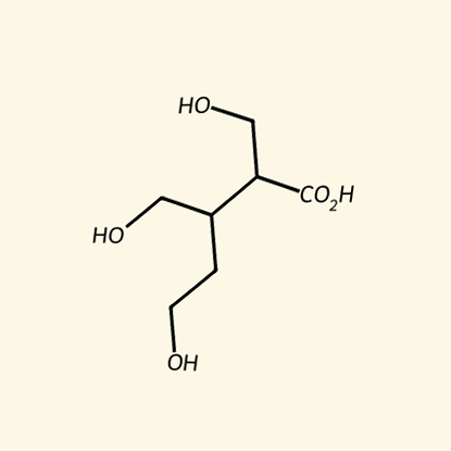 O=C(O)C(CO)C(CO)CCO